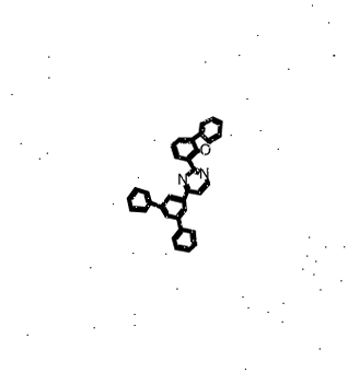 c1ccc(-c2cc(-c3ccccc3)cc(-c3ccnc(-c4cccc5c4oc4ccccc45)n3)c2)cc1